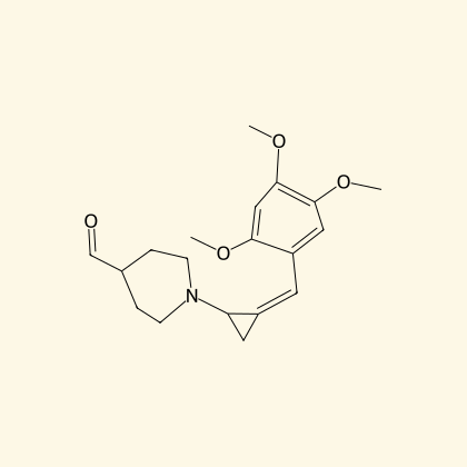 COc1cc(OC)c(OC)cc1C=C1CC1N1CCC(C=O)CC1